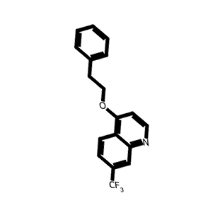 FC(F)(F)c1ccc2c(OCCc3ccccc3)ccnc2c1